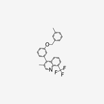 Cc1cccc(COc2cccc(-c3c(C)cnc4c(C(F)(F)F)cccc34)c2)c1